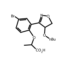 CCCCOC1CON=C1c1cc(Br)ccc1OC(C)C(=O)O